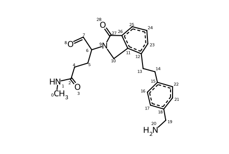 CNC(=O)CCC(C=O)N1Cc2c(CCc3ccc(CN)cc3)cccc2C1=O